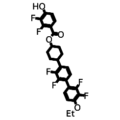 CCOc1ccc(-c2ccc(C3CCC(OC(=O)c4ccc(O)c(F)c4F)CC3)c(F)c2F)c(F)c1F